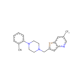 N#Cc1ccccc1N1CCN(Cc2cc3ncc(C(F)(F)F)cc3s2)CC1